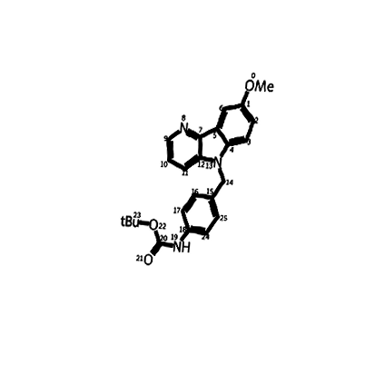 COc1ccc2c(c1)c1ncccc1n2Cc1ccc(NC(=O)OC(C)(C)C)cc1